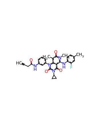 C#CCC(=O)Nc1cccc(-n2c(=O)n(C3CC3)c(=O)c3c(Nc4ccc(C)cc4F)n(C)c(=O)c(C)c32)c1